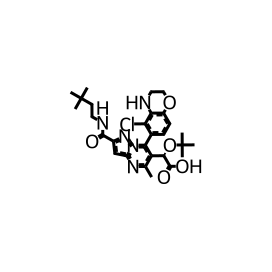 Cc1nc2cc(C(=O)NCCC(C)(C)C)nn2c(-c2ccc3c(c2Cl)NCCO3)c1[C@H](OC(C)(C)C)C(=O)O